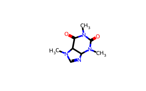 CN1C(=O)C2C(N=CN2C)N(C)C1=O